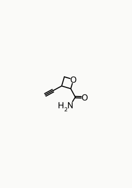 C#CC1COC1C(N)=O